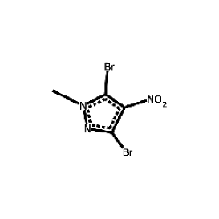 Cn1nc(Br)c([N+](=O)[O-])c1Br